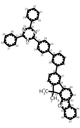 CC1(C)c2ccc(-c3cccc(-c4ccc(-c5nc(-c6ccccc6)nc(-c6ccccc6)n5)cc4)c3)cc2-c2ccc3c(oc4ccccc43)c21